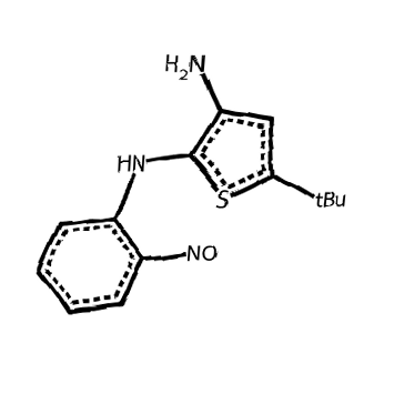 CC(C)(C)c1cc(N)c(Nc2ccccc2N=O)s1